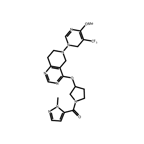 COC1=C(C(F)(F)F)CN(N2CCc3ncnc(OC4CCN(C(=O)c5ccnn5C)C4)c3C2)C=N1